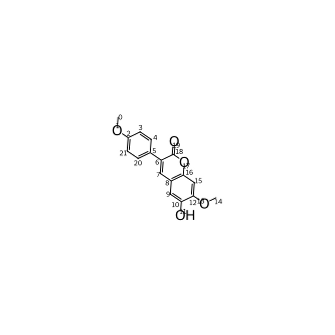 COc1ccc(-c2cc3cc(O)c(OC)cc3oc2=O)cc1